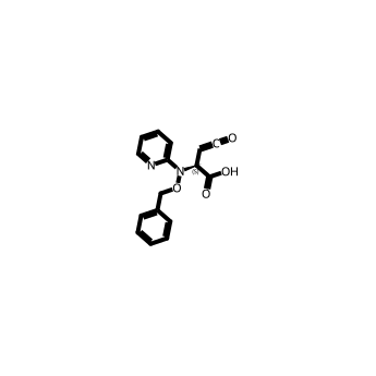 O=C=C[C@@H](C(=O)O)N(OCc1ccccc1)c1ccccn1